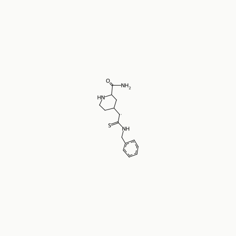 NC(=O)C1CC([CH]C(=S)NCc2ccccc2)CCN1